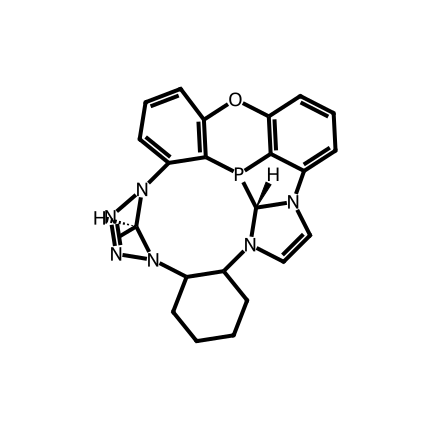 C[C@H]1N2N=NN1C1CCCCC1N1C=CN3c4cccc5c4P(c4c(cccc42)O5)[C@H]31